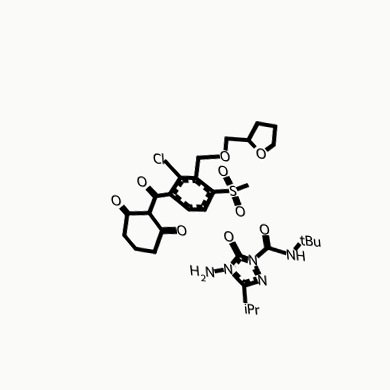 CC(C)c1nn(C(=O)NC(C)(C)C)c(=O)n1N.CS(=O)(=O)c1ccc(C(=O)C2C(=O)CCCC2=O)c(Cl)c1COCC1CCCO1